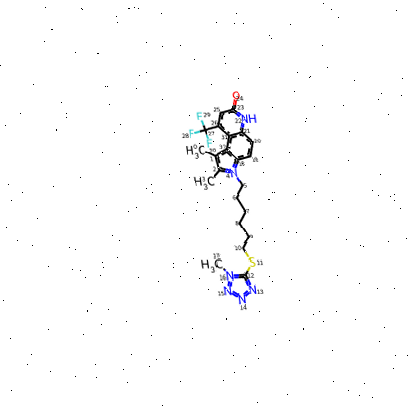 Cc1c(C)n(CCCCCCSc2nnnn2C)c2ccc3[nH]c(=O)cc(C(F)(F)F)c3c12